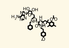 COc1ccc(CCNC(=O)[C@H](CC[C@H](CNCc2ccccc2)C[C@H]2O[C@@H](n3cnc4c(N)ncnc43)C(O)C2O)NC(=O)CC(C)(C)c2c(C)cc(C)cc2OC(C)=O)cc1